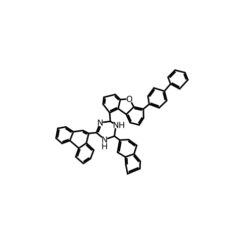 c1ccc(-c2ccc(-c3cccc4c3oc3cccc(C5N=C(c6cc7ccccc7c7ccccc67)NC(c6ccc7ccccc7c6)N5)c34)cc2)cc1